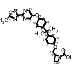 Cc1nc(-c2ncc(Oc3ccc(C(C)(C)c4ccc(OCC5CCN5C(=O)O)cc4)cc3)cn2)no1